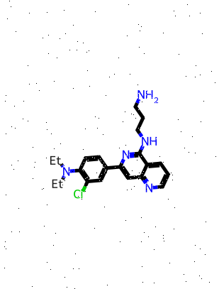 CCN(CC)c1ccc(-c2cc3ncccc3c(NCCCN)n2)cc1Cl